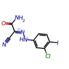 N#C/C(=N\Nc1ccc(I)c(Cl)c1)C(N)=O